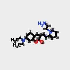 CCN(CC)c1ccc2cc(/C=C/c3cccc[n+]3CCN)c(=O)oc2c1